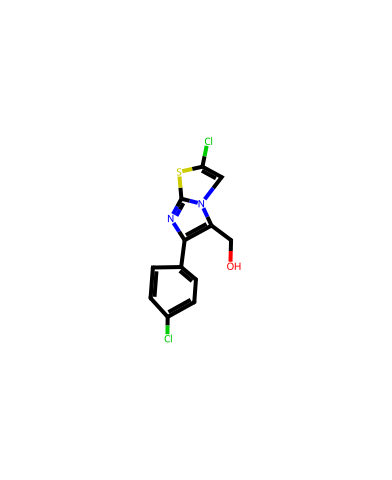 OCc1c(-c2ccc(Cl)cc2)nc2sc(Cl)cn12